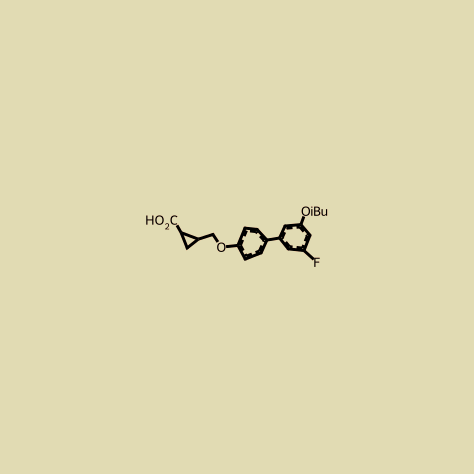 CC(C)COc1cc(F)cc(-c2ccc(OCC3CC3C(=O)O)cc2)c1